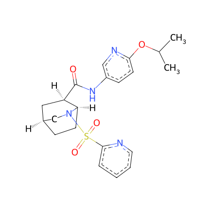 CC(C)Oc1ccc(NC(=O)[C@@H]2C[C@@H]3CC[C@H]2N(S(=O)(=O)c2ccccn2)C3)cn1